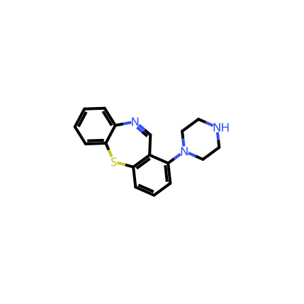 C1=Nc2ccccc2Sc2cccc(N3CCNCC3)c21